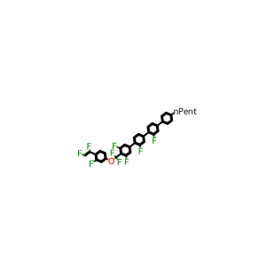 CCCCCc1ccc(-c2ccc(-c3ccc(-c4cc(F)c(C(F)(F)Oc5ccc(/C(F)=C/F)c(F)c5)c(F)c4)c(F)c3)c(F)c2)cc1